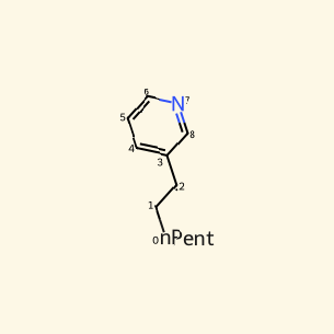 CCCCCC[CH]c1cccnc1